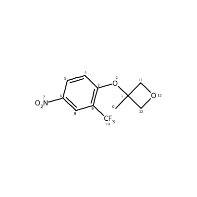 CC1(Oc2ccc([N+](=O)[O-])cc2C(F)(F)F)COC1